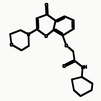 O=C(COc1cccc2c(=O)cc(N3CCOCC3)oc12)NC1CCCCC1